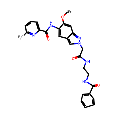 CC(C)Oc1cc2nn(CC(=O)NCCNC(=O)c3ccccc3)cc2cc1NC(=O)c1cccc(C(F)(F)F)n1